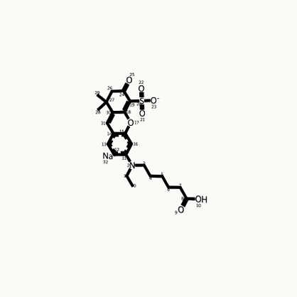 CCN(CCCCCC(=O)O)c1ccc2c(c1)OC1=C(S(=O)(=O)[O-])C(=O)CC(C)(C)C1=C2.[Na+]